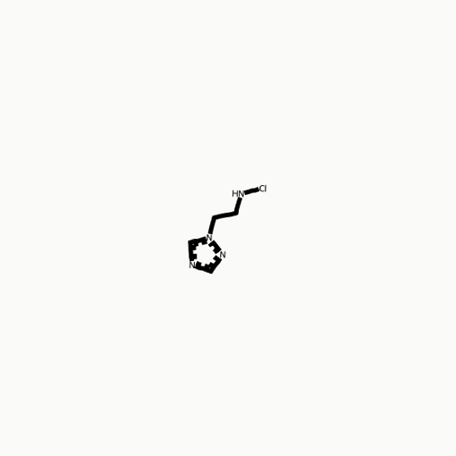 ClNCCn1cncn1